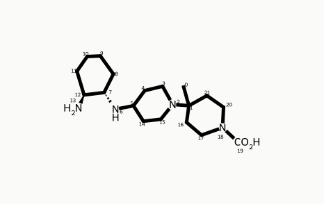 CC1(N2CCC(N[C@H]3CCCC[C@@H]3N)CC2)CCN(C(=O)O)CC1